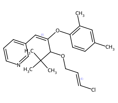 Cc1ccc(O/C(=C/c2cccnc2)C(OC/C=C/Cl)C(C)(C)C)c(C)c1